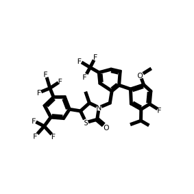 COc1cc(F)c(C(C)C)cc1-c1ccc(C(F)(F)F)cc1CN1C(=O)SC(c2cc(C(F)(F)F)cc(C(F)(F)F)c2)C1C